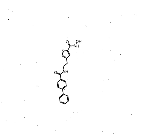 O=C(NCCc1csc(C(=O)NO)c1)c1ccc(-c2ccccc2)cc1